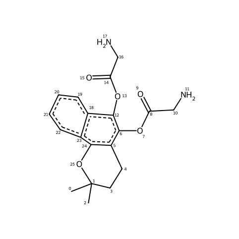 CC1(C)CCc2c(OC(=O)CN)c(OC(=O)CN)c3ccccc3c2O1